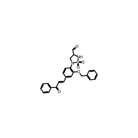 O=CC1CN(c2ccc(/C=C/C(=O)c3ccccc3)cc2OCc2ccccc2)S(=O)(=O)N1